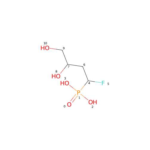 O=P(O)(O)C(F)CC(O)CO